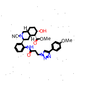 COC(=O)[C@@H]1[C@H]2C[C@@H](c3ccccc3NC(=O)CCn3cc(-c4ccc(OC)cc4)nn3)N(C#N)C[C@@H]2CC[C@@H]1O